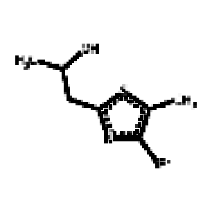 Cc1sc(CC(C)O)nc1C(C)C